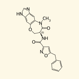 CN1C(=O)[C@@H](NC(=O)c2cc(Cc3ccccc3)on2)COc2cc3[nH]cnc3cc21